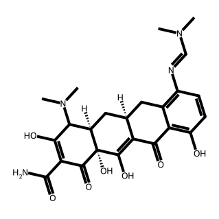 CN(C)/C=N/c1ccc(O)c2c1C[C@@H]1C[C@@H]3C(N(C)C)C(O)=C(C(N)=O)C(=O)[C@]3(O)C(O)=C1C2=O